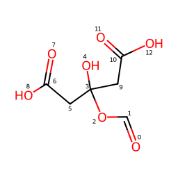 O=COC(O)(CC(=O)O)CC(=O)O